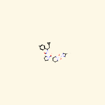 N#CC1CN(S(=O)(=O)N2CCC[C@H](C(=O)N3CCC[C@@H]3C(=O)NC(CC3CC3)c3ccc(C(F)(F)F)cc3)C2)C1